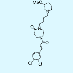 COC1CCCN(CCCCN2CCN(C(=O)/C=C/c3ccc(Cl)c(Cl)c3)CCC2=O)C1